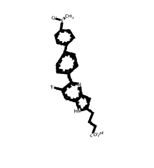 C[S+]([O-])c1ccc(-c2ccc(-c3nc4cc(CCCC(=O)O)[nH]c4cc3F)cc2)cc1